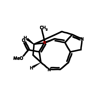 COC(=O)C1=CC2=C3C4=CC=N[C@H]1C[C@H](CC3=NC4)C2C